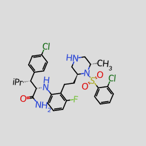 CC(C)[C@H](c1ccc(Cl)cc1)[C@H](Nc1cccc(F)c1CC[C@H]1CNC[C@H](C)N1S(=O)(=O)c1ccccc1Cl)C(N)=O